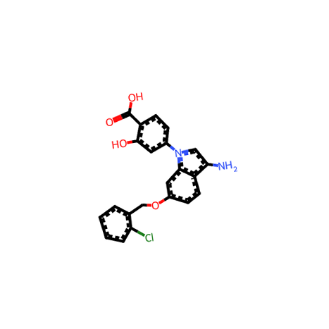 Nc1cn(-c2ccc(C(=O)O)c(O)c2)c2cc(OCc3ccccc3Cl)ccc12